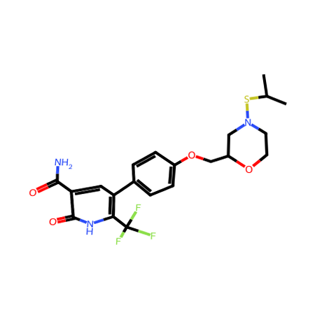 CC(C)SN1CCOC(COc2ccc(-c3cc(C(N)=O)c(=O)[nH]c3C(F)(F)F)cc2)C1